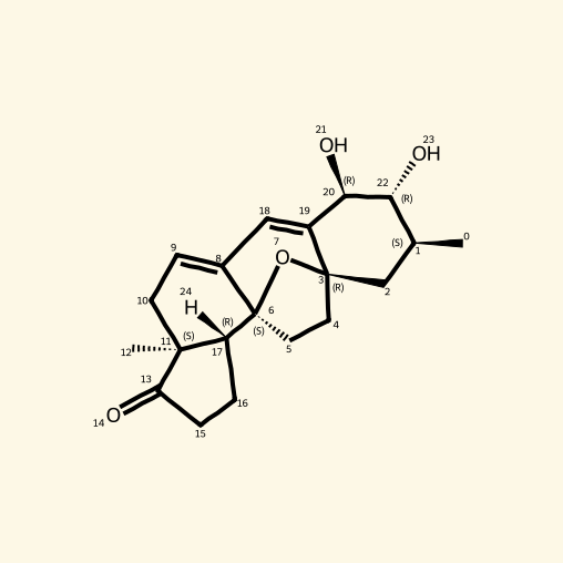 C[C@H]1C[C@@]23CC[C@@]4(O2)C(=CC[C@]2(C)C(=O)CC[C@H]24)C=C3[C@@H](O)[C@@H]1O